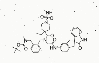 CCC1(C(=O)N(CC(=O)Nc2ccc3c(c2)C[C@@]2(C3)C(=O)Nc3ncccc32)Cc2ccccc2CN(C)C(=O)OC(C)(C)C)CCN(S(=O)(=O)NC)CC1